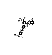 CN(C)C1CCN(C(=O)Cc2ccc(-n3nc(C(C)(C)C)cc3NC(=O)Nc3cccc(Cl)c3Cl)cc2)C1